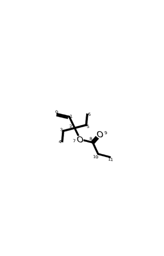 C=CC(CC)(CC)OC(=O)CC